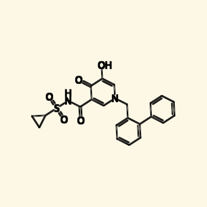 O=C(NS(=O)(=O)C1CC1)c1cn(Cc2ccccc2-c2ccccc2)cc(O)c1=O